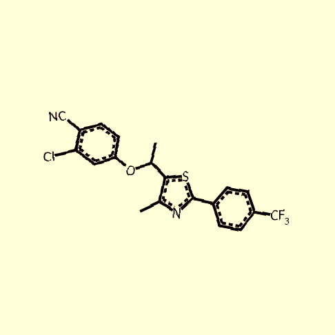 Cc1nc(-c2ccc(C(F)(F)F)cc2)sc1C(C)Oc1ccc(C#N)c(Cl)c1